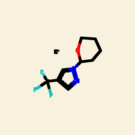 F[B-](F)(F)c1cnn(C2CCCCO2)c1.[K+]